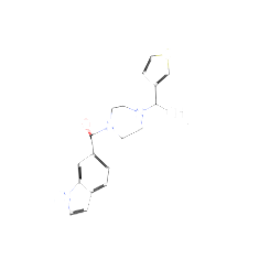 CC(c1ccsc1)N1CCN(C(=O)c2ccc3cc[nH]c3c2)CC1